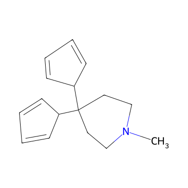 CN1CCC(C2C=CC=C2)(C2C=CC=C2)CC1